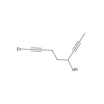 [CH2]C#CC(CCC)CCC#CCC